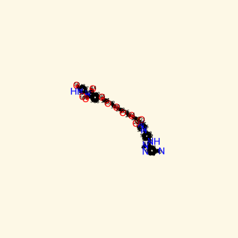 N#Cc1ccc2ncnc(Nc3ccc(N4CCN(S(=O)(=O)CCOCCOCCOCCOCCOc5ccc6c(c5)C(=O)N(C5CCC(=O)NC5=O)C6=O)CC4)cc3)c2c1